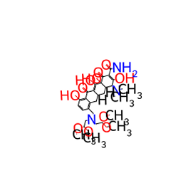 COC(CN(Cc1ccc(O)c2c1C[C@H]1C[C@H]3C(N(C)C)C(O)=C(C(N)=O)C(=O)[C@@]3(O)C(O)=C1C2=O)CC(OC)OC)OC